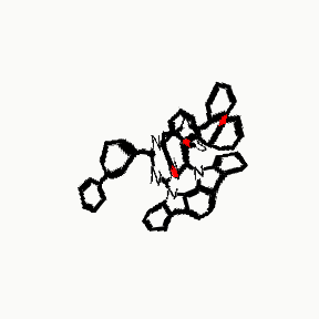 c1ccc(-c2cccc(-c3nc(-c4cccc(-c5ccccc5)c4)nc(-n4c5ccccc5c5ccc6c7ccccc7n(-c7cccc8nc(-c9ccccc9)sc78)c6c54)n3)c2)cc1